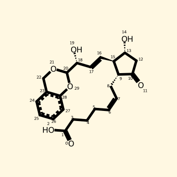 O=C(O)CCC/C=C\C[C@H]1C(=O)C[C@@H](O)[C@@H]1/C=C/[C@@H](O)C1OCc2ccccc2O1